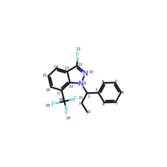 [CH2]CC(c1ccccc1)n1nc(F)c2cccc(C(F)(F)F)c21